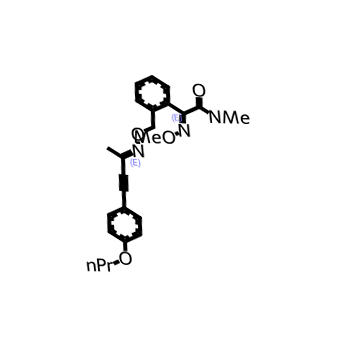 CCCOc1ccc(C#C/C(C)=N/OCc2ccccc2/C(=N\OC)C(=O)NC)cc1